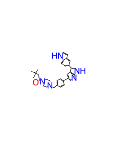 CC(C)(C)CC(=O)N1CCN(Cc2ccc(-c3cnc4[nH]cc(-c5ccc6[nH]ccc6c5)c4c3)cc2)CC1